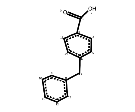 O=C(O)c1ccc([CH]c2ccccc2)cc1